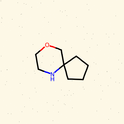 C1CCC2(C1)COCCN2